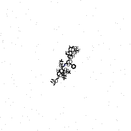 C=C(OS(=O)(=O)C(F)(F)F)[C@H](C)C[C@H]1CC[C@@H]2O[C@@H](CCC(/C=C/[C@H](O[Si](C)(C)C(C)(C)C)[C@@H]3C[C@H]4CC[C@H](CCO[Si](CC)(CC)CC)O[C@@H]4[C@H](O[Si](C)(C)C(C)(C)C)[C@@H]3O[Si](C)(C)C(C)(C)C)OC(=O)c3ccccc3)C[C@]2(CI)O1